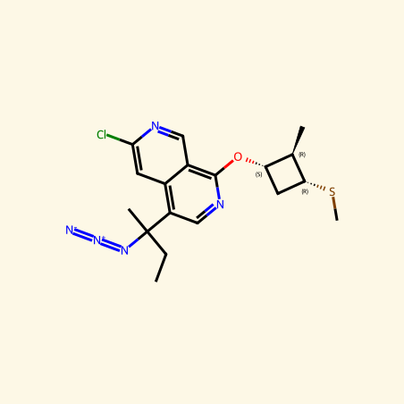 CCC(C)(N=[N+]=[N-])c1cnc(O[C@H]2C[C@@H](SC)[C@@H]2C)c2cnc(Cl)cc12